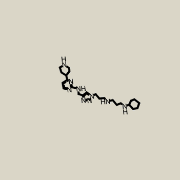 c1cc(C2CCNCC2)nc(NCc2cn(CCCNCCCNC3CCCCC3)nn2)n1